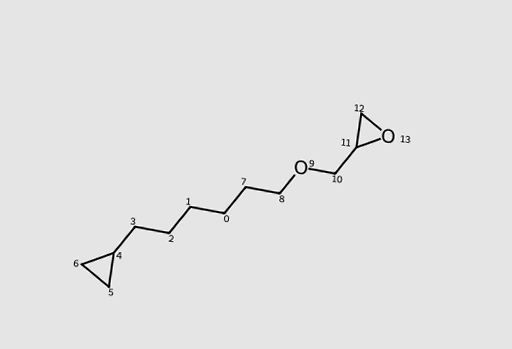 C(CCCC1CC1)CCOCC1CO1